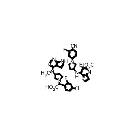 CCOC(=O)c1cnc2ccsc2c1NC1CCN(c2ccc(C#N)c(F)c2)C1.CN(c1ncnc2[nH]ccc12)C1CCN(C(C(=O)O)c2ccc(Cl)cc2F)C1